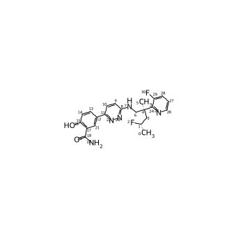 C[C@H](F)C[C@@](C)(CNc1ccc(-c2ccc(O)c(C(N)=O)c2)nn1)c1ncccc1F